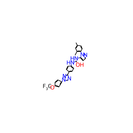 Cc1ccc(-n2nccc2NC(O)Nc2ccc(-c3ncn(-c4ccc(OC(F)(F)F)cc4)n3)cc2)c(C)c1